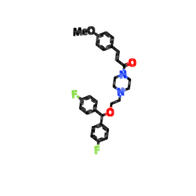 COc1ccc(C=CC(=O)N2CCN(CCOC(c3ccc(F)cc3)c3ccc(F)cc3)CC2)cc1